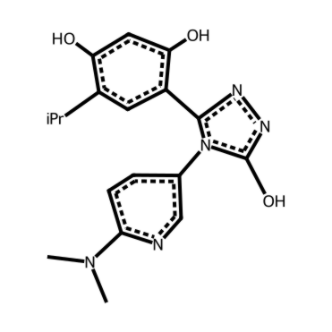 CC(C)c1cc(-c2nnc(O)n2-c2ccc(N(C)C)nc2)c(O)cc1O